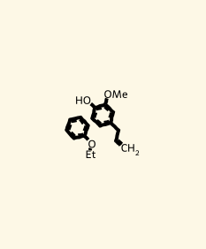 C=CCc1ccc(O)c(OC)c1.CCOc1ccccc1